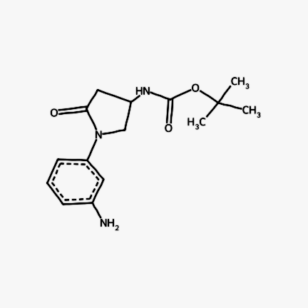 CC(C)(C)OC(=O)NC1CC(=O)N(c2cccc(N)c2)C1